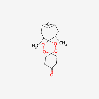 CC1CC2CC(C2)CC(C)C12OOC1(CCC(=O)CC1)OO2